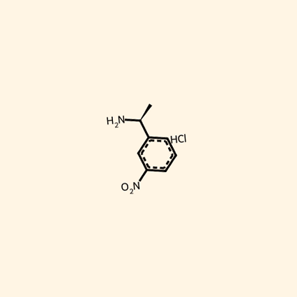 C[C@H](N)c1cccc([N+](=O)[O-])c1.Cl